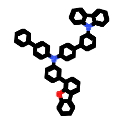 c1ccc(-c2ccc(N(c3ccc(-c4cccc(-n5c6ccccc6c6ccccc65)c4)cc3)c3cccc(-c4cccc5c4oc4ccccc45)c3)cc2)cc1